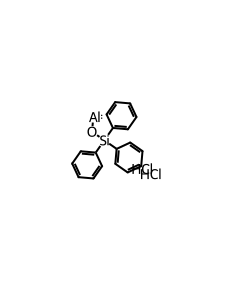 Cl.Cl.[Al][O][Si](c1ccccc1)(c1ccccc1)c1ccccc1